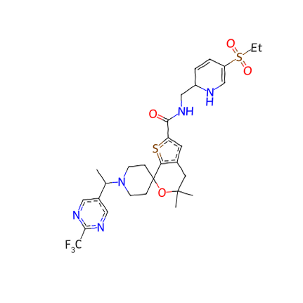 CCS(=O)(=O)C1=CNC(CNC(=O)c2cc3c(s2)C2(CCN(C(C)c4cnc(C(F)(F)F)nc4)CC2)OC(C)(C)C3)C=C1